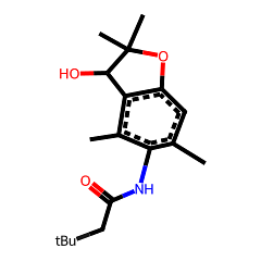 Cc1cc2c(c(C)c1NC(=O)CC(C)(C)C)C(O)C(C)(C)O2